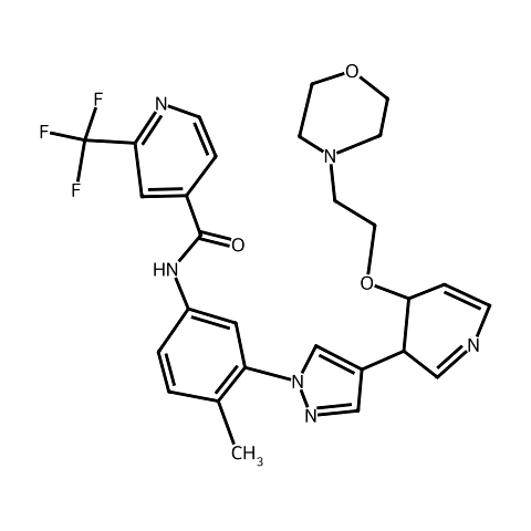 Cc1ccc(NC(=O)c2ccnc(C(F)(F)F)c2)cc1-n1cc(C2C=NC=CC2OCCN2CCOCC2)cn1